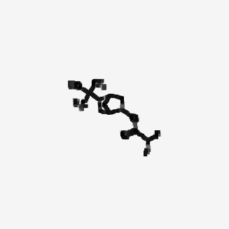 O=C(OC1CC2CC1CC2C(O)(C(F)(F)F)C(F)(F)F)C(F)F